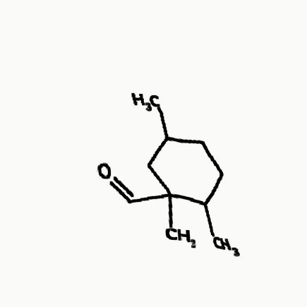 CC1CCC(C)C(C)(C=O)C1